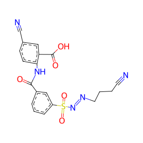 N#CCCCN=NS(=O)(=O)c1cccc(C(=O)Nc2ccc(C#N)cc2C(=O)O)c1